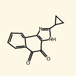 O=C1C(=O)c2[nH]c(C3CC3)nc2-c2ccccc21